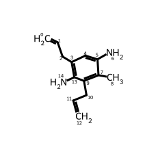 C=CCc1cc(N)c(C)c(CC=C)c1N